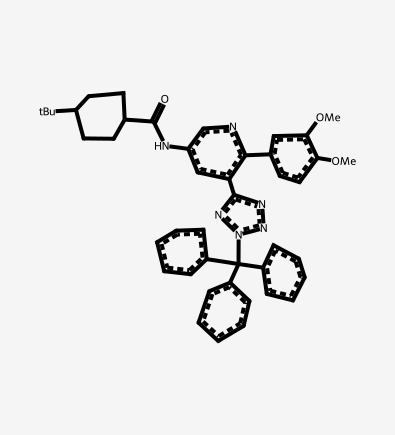 COc1ccc(-c2ncc(NC(=O)C3CCC(C(C)(C)C)CC3)cc2-c2nnn(C(c3ccccc3)(c3ccccc3)c3ccccc3)n2)cc1OC